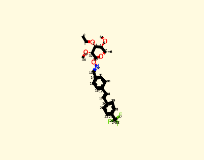 CCO[C@@H]1[C@@H](OC)[C@H](C)O[C@@H](ON=Cc2ccc(C=Cc3ccc(C(F)(F)F)cc3)cc2)[C@@H]1OC